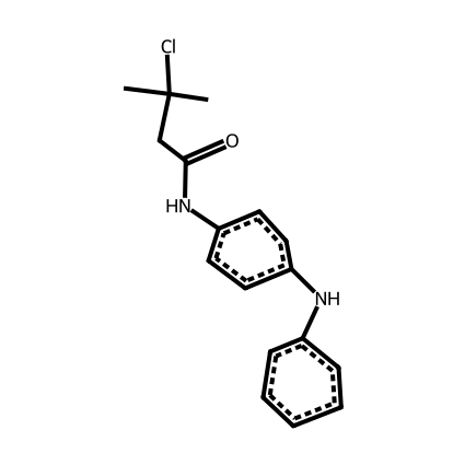 CC(C)(Cl)CC(=O)Nc1ccc(Nc2ccccc2)cc1